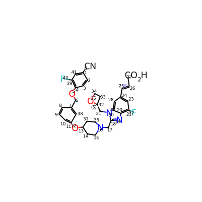 N#Cc1ccc(OCc2cccc(OC3CCN(Cc4nc5c(F)cc(/C=C/C(=O)O)cc5n4C[C@@H]4CCO4)CC3)c2)c(F)c1